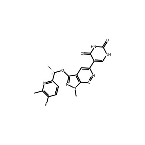 Cc1nc([C@H](C)Oc2nn(C)c3nnc(-c4c[nH]c(=O)[nH]c4=O)cc23)ccc1F